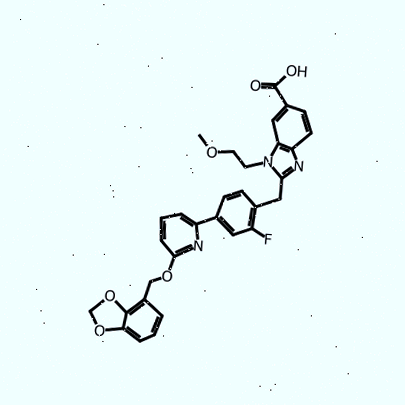 COCCn1c(Cc2ccc(-c3cccc(OCc4cccc5c4OCO5)n3)cc2F)nc2ccc(C(=O)O)cc21